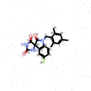 Cc1cc(C)c(CN2C(=O)C3(NC(=O)NC3=O)c3cc(F)ccc32)c(C)c1